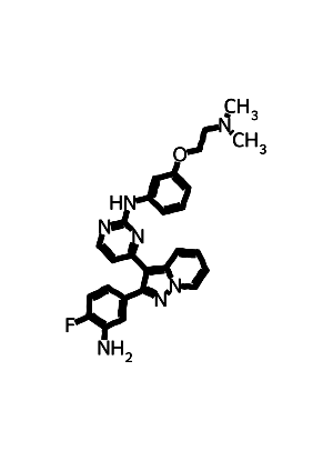 CN(C)CCOc1cccc(Nc2nccc(-c3c(-c4ccc(F)c(N)c4)nn4ccccc34)n2)c1